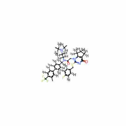 [2H]c1c([2H])c(CSc2nc(=O)c3c(n2CC(=O)N(C([2H])([2H])c2c([2H])c([2H])c(-c4c([2H])c([2H])c(C(F)(F)F)c(C)c4[2H])c([2H])c2[2H])C([2H])([2H])C([2H])([2H])N(C([2H])([2H])C)C([2H])([2H])C)C([2H])([2H])C([2H])([2H])C3([2H])[2H])c([2H])c([2H])c1F